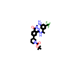 CC(Nc1nn(C)c(=O)c2ccc(C3CCCN(C(=O)OC(C)(C)C)C3)cc12)c1cc(N)cc(C(F)(F)F)c1